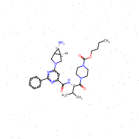 CCCCOC(=O)N1CCN(C(=O)[C@@H](NC(=O)c2cc(N3CC4[C@H](N)[C@H]4C3)nc(-c3ccccc3)n2)C(C)C)CC1